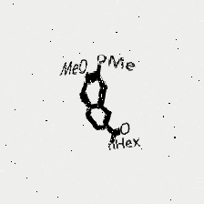 CCCCCCC(=O)c1ccc2cc(OC)c(OC)cc2c1